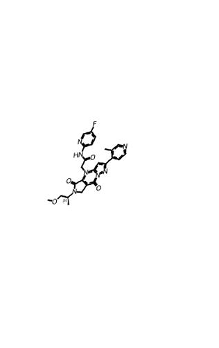 COC[C@H](C)N1Cc2c(n(CC(=O)Nc3ccc(F)cn3)c3cc(-c4ccncc4C)nn3c2=O)C1=O